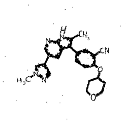 Cc1[nH]c2ncc(-c3cnn(C)c3)cc2c1-c1ccc(OC2CCOCC2)c(C#N)c1